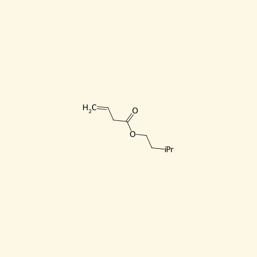 C=CCC(=O)OCCC(C)C